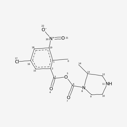 Cc1c(C(=O)OC(=O)N2CCNCC2C)cc(Cl)cc1[N+](=O)[O-]